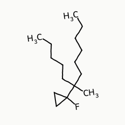 CCCCCCC(C)(CCCCC)C1(F)CC1